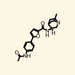 CC(=O)Nc1ccc(-c2ccc(C(=O)N[C@H]3CN4CCC3CC4C)o2)cc1